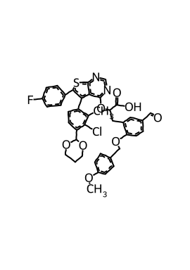 COc1ccc(COc2ccc(C=O)cc2CC(Oc2ncnc3sc(-c4ccc(F)cc4)c(-c4ccc(C5OCCCO5)c(Cl)c4C)c23)C(=O)O)cc1